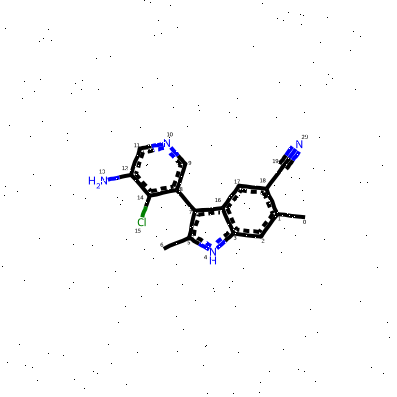 Cc1cc2[nH]c(C)c(-c3cncc(N)c3Cl)c2cc1C#N